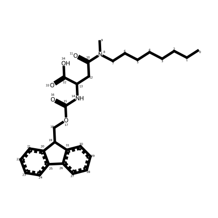 CCCCCCCCN(C)C(=O)CC(NC(=O)OCC1c2ccccc2-c2ccccc21)C(=O)O